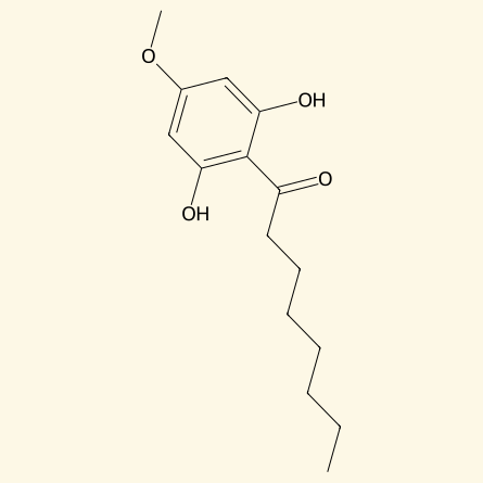 CCCCCCCC(=O)c1c(O)cc(OC)cc1O